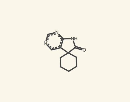 O=C1Nc2ncncc2C12CCCCC2